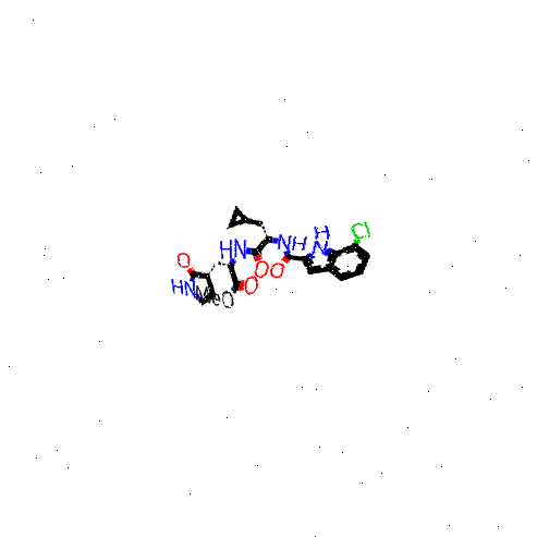 COC(=O)[C@H](C[C@@H]1CCNC1=O)NC(=O)[C@H](CC1CC1)NC(=O)c1cc2cccc(Cl)c2[nH]1